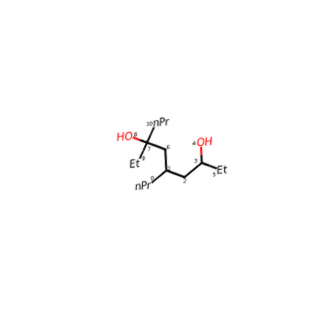 CCCC(CC(O)CC)CC(O)(CC)CCC